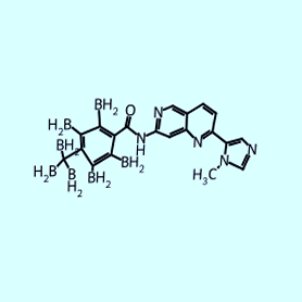 Bc1c(B)c(C(B)(B)B)c(B)c(B)c1C(=O)Nc1cc2nc(-c3cncn3C)ccc2cn1